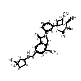 CN(C=N)C(=N)C[C@]1(c2cccc(N3Cc4c(cc(CNC5CCC(F)(F)C5)cc4C(F)(F)F)C3=O)c2)C[C@H](C#N)C1